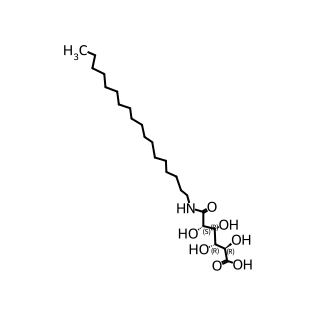 CCCCCCCCCCCCCCCCCCNC(=O)[C@@H](O)[C@H](O)[C@@H](O)[C@@H](O)C(=O)O